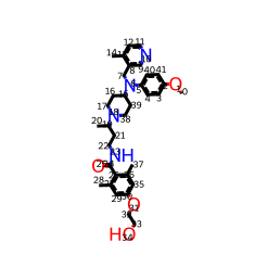 COc1ccc(N(Cc2cnccc2C)C2CCN(C(C)CCNC(=O)c3c(C)cc(OCCO)cc3C)CC2)cc1